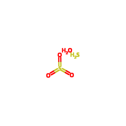 O.O=S(=O)=O.S